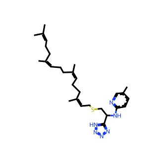 CC(C)=CCCC(C)=CCCC(C)=CCCC(C)=CCSCC(Nc1ccc(C)cn1)c1nnn[nH]1